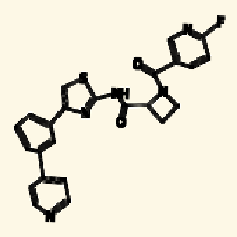 O=C(Nc1nc(-c2cccc(-c3ccncc3)c2)cs1)C1CCN1C(=O)c1ccc(F)nc1